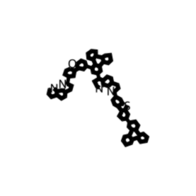 c1cnc2c(c1)ccc1ccc(-c3ccc4oc5ccc(-c6cc(-c7ccnc8c7ccc7ccc(-c9ccc%10c(c9)sc9cc(-c%11ccc%12c%13ccccc%13c%13ccccc%13c%12c%11)ccc9%10)nc78)cc7c8ccccc8c8ccccc8c67)cc5c4c3)nc12